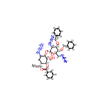 CN[C@@H]1CC(N=[N+]=[N-])[C@@H](O[C@H]2OC(CN=[N+]=[N-])[C@@H](OCc3ccccc3)[C@@H](OCc3ccccc3)C2N=[N+]=[N-])[C@H](O)C1OC(=O)c1ccccc1